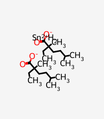 CCC(C)(CCC(C)C)C(=O)[O-].CCC(C)(CCC(C)C)C(=O)[O-].[SnH2+2]